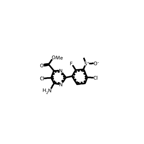 COC(=O)c1nc(-c2ccc(Cl)c([S+](C)[O-])c2F)nc(N)c1Cl